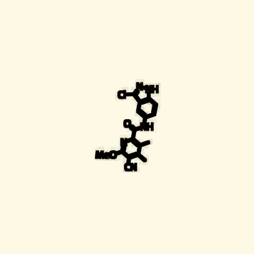 COc1nc(C(=O)Nc2ccc3[nH]nc(Cl)c3c2)c(C)c(C)c1C#N